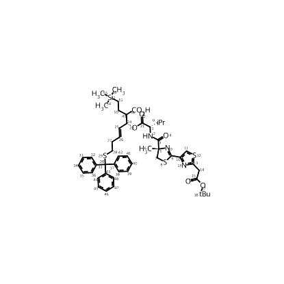 CC(C)[C@H](NC(=O)[C@@]1(C)CSC(c2csc(CC(=O)OC(C)(C)C)n2)=N1)C(=O)O[C@H](C=CCCSC(c1ccccc1)(c1ccccc1)c1ccccc1)C(CC[Si](C)(C)C)C(=O)O